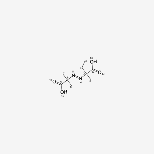 CCC(C)(/N=N/C(C)(C)C(=O)O)C(=O)O